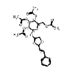 CC(=O)OC[C@H]1O[C@@H](OC2COC(/C=C/c3ccccc3)O2)[C@H](OC(C)=O)[C@@H](OC(C)=O)[C@@H]1OC(C)=O